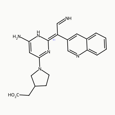 N=C/C(=C1/N=C(N2CCC(CC(=O)O)C2)C=C(N)N1)c1cnc2ccccc2c1